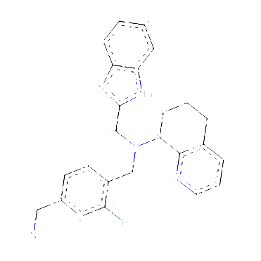 NCc1ccc(CN(Cc2nc3ccccc3[nH]2)C2CCCc3cccnc32)c(Br)c1